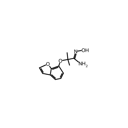 CC(C)(Oc1cccc2ccoc12)C(N)=NO